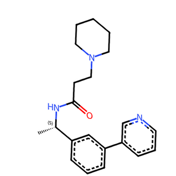 C[C@H](NC(=O)CCN1CCCCC1)c1cccc(-c2cccnc2)c1